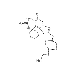 C=C1Nc2c(Cl)cc3cc(CN4CCC(CCO)CC4)oc3c2C2(CCCCC2)N1